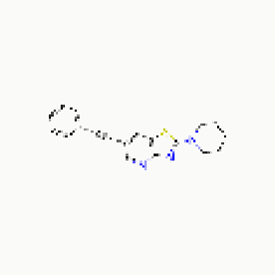 C(#Cc1cnc2nc(N3CCCCC3)sc2c1)c1ccccc1